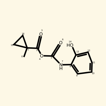 CC1(C(=O)OC(=O)Nc2ccccc2O)CC1